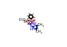 CCON=C(Nc1nc(C)cc(C)n1)NS(=O)(=O)c1ccccc1C(=O)OCC